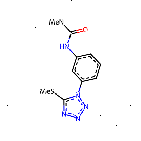 CNC(=O)Nc1cccc(-n2nnnc2SC)c1